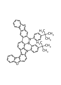 CC(C)(C)c1ccc(N2B3c4cc(C(C)(C)C)ccc4-n4c5ccc6oc7ccccc7c6c5c5ccc(c3c54)-c3cc4c(cc32)sc2ccccc24)cc1